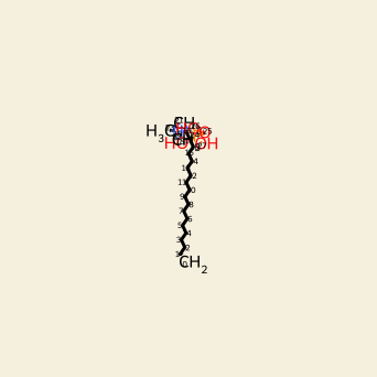 C=CCCCCCCCCCCCCCCCC(O)(C[N+](C)(C)C)P(=O)(O)O